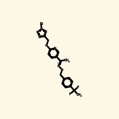 CCn1nnc(COc2ccc(/C(C)=N/OCc3ccc(C(C)(F)F)cc3)cn2)n1